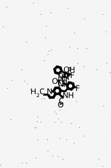 [2H]C1([2H])N(C(=O)Nc2cc3nc(C=C)ccc3c3c2C(c2cc(F)ccc2Cl)NC3=C=O)c2ccccc2C1(O)C(F)(F)F